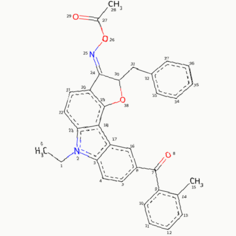 CCn1c2ccc(C(=O)c3ccccc3C)cc2c2c3c(ccc21)/C(=N/OC(C)=O)C(Cc1ccccc1)O3